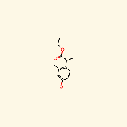 CCOC(=O)C(C)c1ccc(O)cc1C